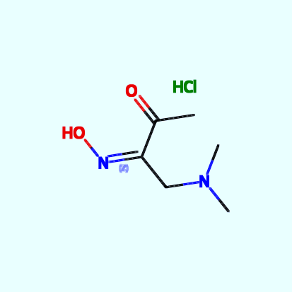 CC(=O)/C(CN(C)C)=N\O.Cl